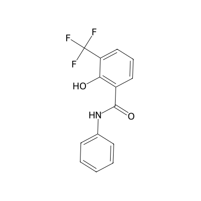 O=C(Nc1ccccc1)c1cccc(C(F)(F)F)c1O